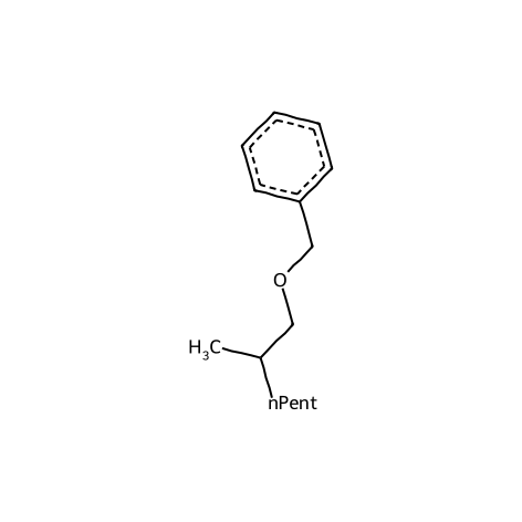 CCCCCC(C)COCc1ccccc1